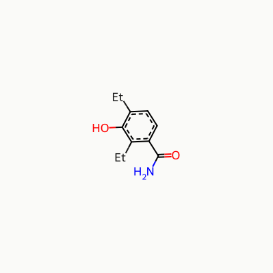 CCc1ccc(C(N)=O)c(CC)c1O